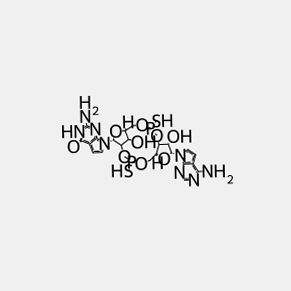 Nc1nc2c(ccn2[C@@H]2O[C@@H]3COP(S)OC4C(O)[C@H](n5ccc6c(N)ncnc65)O[C@@H]4COP(S)OC2C3O)c(=O)[nH]1